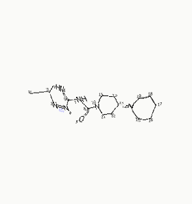 CC(C)/N=N\C(=N)NC(=O)N1CCC(N2CCCCC2)CC1